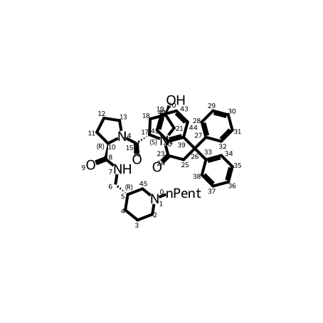 CCCCCN1CCC[C@H](CNC(=O)[C@H]2CCCN2C(=O)[C@@H]2C[C@@H](O)CN2C(=O)CC(c2ccccc2)(c2ccccc2)c2ccccc2)C1